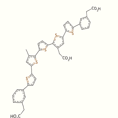 Cc1cc(-c2ccc(-c3cccc(CC(=O)O)c3)s2)sc1-c1ccc(-c2sc(-c3ccc(-c4cccc(CC(=O)O)c4)s3)cc2CC(=O)O)s1